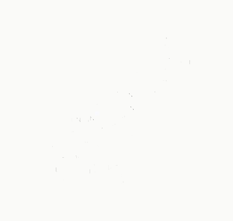 CB(O)c1ccc(N/N=C/c2cn(-c3ccc(C(=O)O)cc3)nc2-c2ccc(B(O)O)cc2)cc1